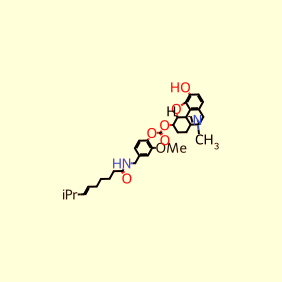 COc1cc(CNC(=O)CCCC/C=C/C(C)C)ccc1OC(=O)OC1CCC2C3Cc4ccc(O)c5c4[C@]2(CCN3C)[C@@H]1O5